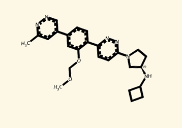 COCOc1cc(-c2cnnc(C)c2)ccc1-c1ccc(N2CC[C@@H](NC3CCC3)C2)nn1